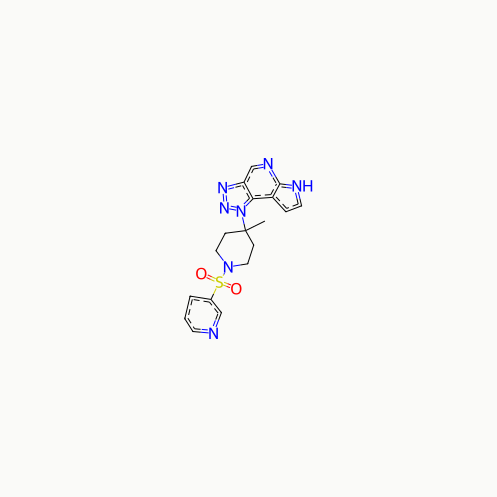 CC1(n2nnc3cnc4[nH]ccc4c32)CCN(S(=O)(=O)c2cccnc2)CC1